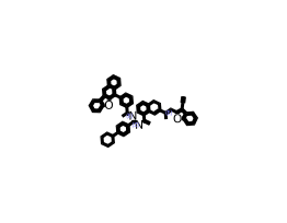 C#Cc1c(/C=C(\C)C2=Cc3c(cccc3C(=C)/N=C(\N=C(/C)c3cccc(-c4c5ccccc5cc5c4oc4ccccc45)c3)c3ccc(C4CCCCC4)cc3)CC2)oc2ccccc12